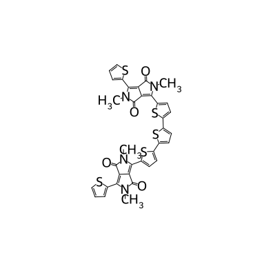 CN1C(=O)C2=C(c3ccc(-c4ccc(-c5ccc(C6=C7C(=O)N(C)C(c8cccs8)=C7C(=O)N6C)s5)s4)s3)N(C)C(=O)C2=C1c1cccs1